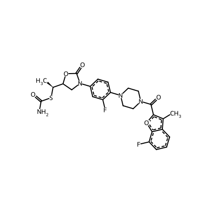 Cc1c(C(=O)N2CCN(c3ccc(N4CC([C@H](C)SC(N)=O)OC4=O)cc3F)CC2)oc2c(F)cccc12